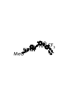 C=NN(/C=C(\C)Nc1cccn2c(C#CC3CC(C(=O)Nc4ccc(CN5CCN(C)[C@H](C)C5)c(C(F)(F)F)c4)=CC=C3C)cnc12)CCOC